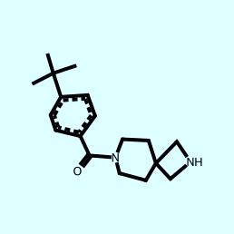 CC(C)(C)c1ccc(C(=O)N2CCC3(CC2)CNC3)cc1